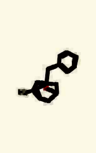 O[C@@H]1C2CC3CC(C2)C1N(Cc1ccccc1)C3